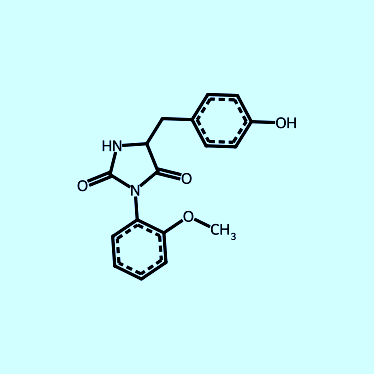 COc1ccccc1N1C(=O)NC(Cc2ccc(O)cc2)C1=O